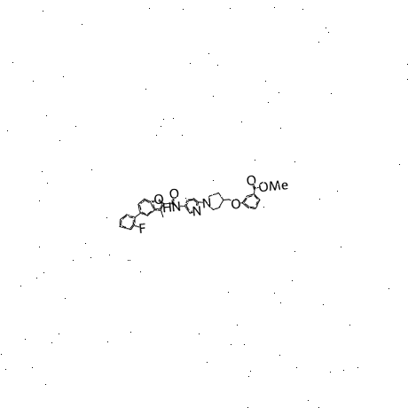 COC(=O)c1cccc(OCC2CCN(c3ccc(NC(=O)c4oc5ccc(-c6ccccc6F)cc5c4C)cn3)CC2)c1